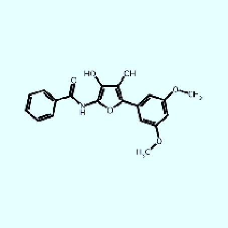 COc1cc(OC)cc(-c2oc(NC(=O)c3ccccc3)c(O)c2O)c1